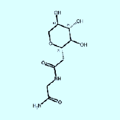 NC(=O)CNC(=O)C[C@@H]1OC[C@@H](O)[C@H](O)C1O